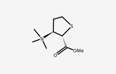 COC(=O)[C@H]1SCC[C@@H]1[Si](C)(C)C